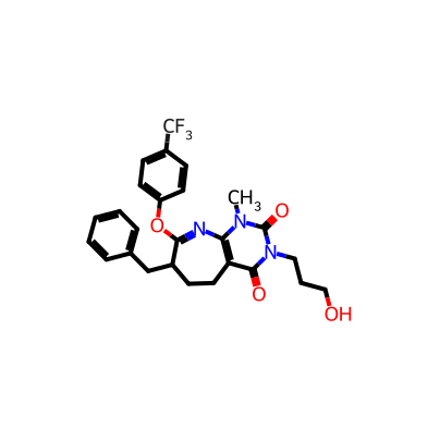 Cn1c2c(c(=O)n(CCCO)c1=O)CCC(Cc1ccccc1)C(Oc1ccc(C(F)(F)F)cc1)=N2